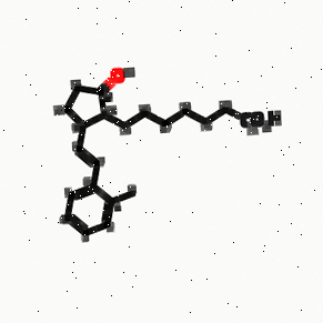 Cc1ccccc1/C=C/C1CCC(=O)C1CCCCCCC(=O)O